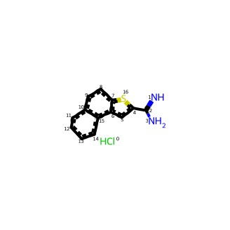 Cl.N=C(N)c1cc2c(ccc3ccccc32)s1